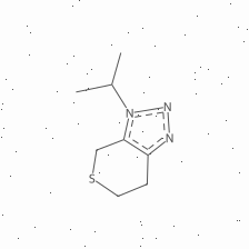 CC(C)n1nnc2c1CSCC2